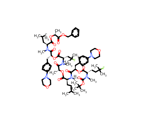 CC(C)CC[C@@H](C(=O)O[C@H](C)C(=O)N(C)[C@@H](CC(C)(C)F)C(=O)O[C@H](Cc1ccc(N2CCOCC2)cc1)C(=O)N(C)[C@@H](CC(C)C)C(=O)O[C@H](C)C(=O)OCc1ccccc1)N(C)C(=O)[C@@H](Cc1ccc(N2CCOCC2)cc1)OC(=O)[C@H](CCC(C)(C)F)N(C)C(=O)OC(C)(C)C